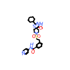 O=C(Nc1ccncc1)c1cccc(CCS(=O)(=O)N2CCC3(CC2)N=C(C2CCCCC2)NC3=O)c1